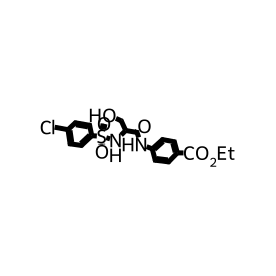 CCOC(=O)c1ccc(NC(=O)C(CO)NS(=O)(=O)c2ccc(Cl)cc2)cc1